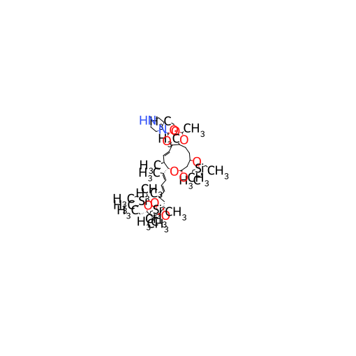 CCOC(C)O[C@]1(C)CC[C@@H](O[Si](CC)(CC)CC)CC(=O)O[C@H](/C(C)=C/C=C/[C@@](C)(C[C@@H]2O[C@H]2[C@H](C)[C@H](CC)O[Si](CC)(CC)CC)O[Si](CC)(CC)CC)[C@@H](C)/C=C/[C@H]1OC(=O)N1CCNCC1